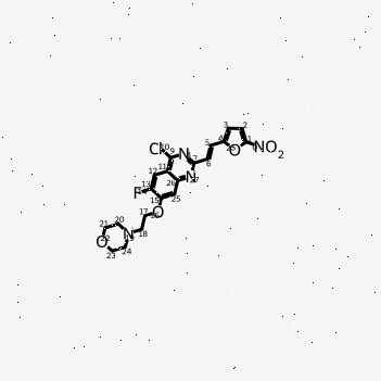 O=[N+]([O-])c1ccc(/C=C/c2nc(Cl)c3cc(F)c(OCCN4CCOCC4)cc3n2)o1